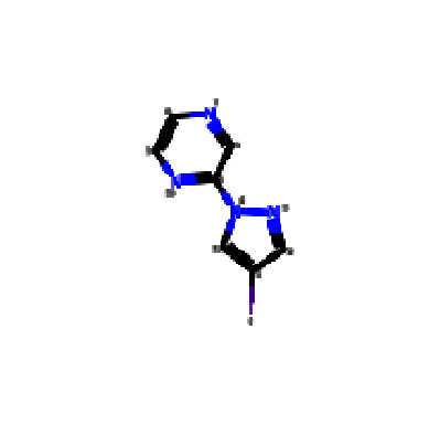 Ic1cnn(-c2cnccn2)c1